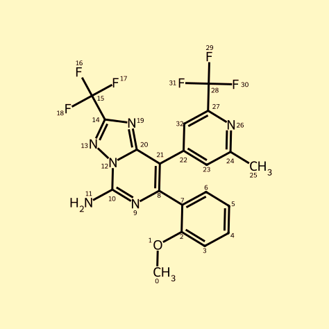 COc1ccccc1-c1nc(N)n2nc(C(F)(F)F)nc2c1-c1cc(C)nc(C(F)(F)F)c1